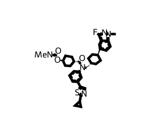 CNC(=O)O[C@H]1CC[C@H](C(=O)N(C[C@H]2CC[C@H](c3ccc4c(c3)c(F)nn4C)CC2)c2cccc(-c3cnc(C4CC4)s3)c2)CC1